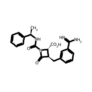 C[C@@H](NC(=O)N1C(=O)[C@H](Cc2cccc(C(=N)N)c2)[C@H]1C(=O)O)c1ccccc1